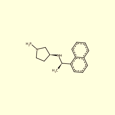 C[C@@H](N[C@H]1CCN(P)C1)c1cccc2ccccc12